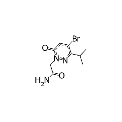 CC(C)c1nn(CC(N)=O)c(=O)cc1Br